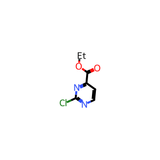 CCOC(=O)c1ccnc(Cl)n1